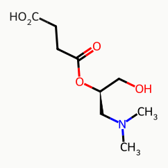 CN(C)C[C@H](CO)OC(=O)CCC(=O)O